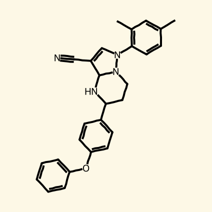 Cc1ccc(N2C=C(C#N)C3NC(c4ccc(Oc5ccccc5)cc4)CCN32)c(C)c1